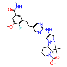 CNC(=O)c1cc(CCc2cnc(Nc3cnn(C4CCCN(C(=O)O)[C@@H]4C(C)(C)C)c3)nc2)c(F)c(OC)c1